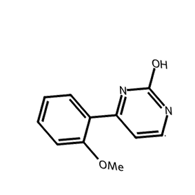 COc1ccccc1-c1c[c]nc(O)n1